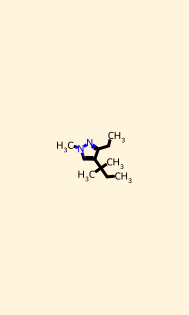 CCc1nn(C)cc1C(C)(C)CC